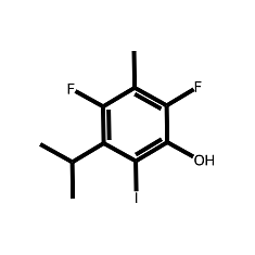 Cc1c(F)c(O)c(I)c(C(C)C)c1F